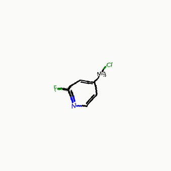 Fc1c[c]([Mg][Cl])ccn1